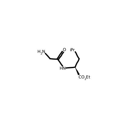 CCOC(=O)[C@H](CC(C)C)NC(=O)CN